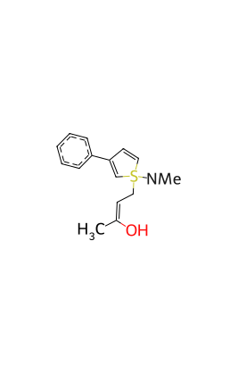 CNS1(CC=C(C)O)C=CC(c2ccccc2)=C1